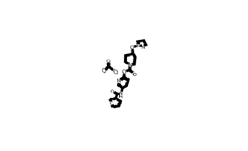 O=C(Cl)Cl.O=C(Nc1ccc(OC(=O)N2CCC(On3cccn3)CC2)nc1)c1ccccc1